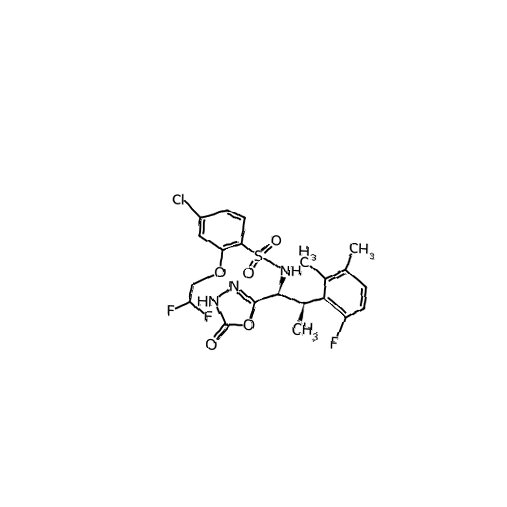 Cc1ccc(F)c([C@@H](C)[C@H](NS(=O)(=O)c2ccc(Cl)cc2OCC(F)F)c2n[nH]c(=O)o2)c1C